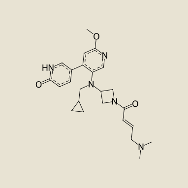 COc1cc(-c2ccc(=O)[nH]c2)c(N(CC2CC2)C2CN(C(=O)/C=C/CN(C)C)C2)cn1